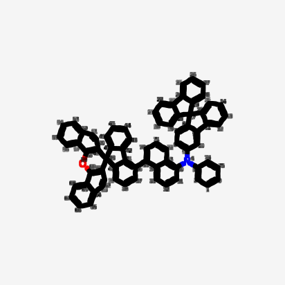 c1ccc(N(c2ccc3c(c2)-c2ccccc2C32c3ccccc3-c3ccccc32)c2cccc3c(-c4cccc5c4-c4ccccc4C54c5ccc6ccccc6c5Oc5c4ccc4ccccc54)cccc23)cc1